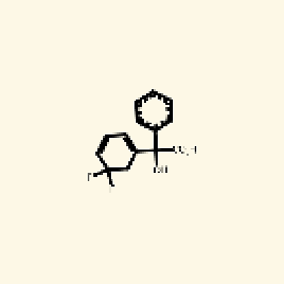 O=C(O)C(O)(C1=CC=CC(F)(F)C1)c1ccccc1